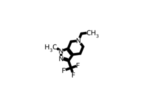 CCN1CCc2c(C(F)(F)F)nn(C)c2C1